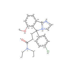 CCN(CC)C(=O)CCC1(c2ccc(Cl)cc2)c2c(OC)cccc2-c2nccn21